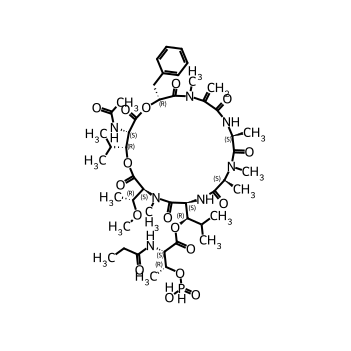 C=C1C(=O)N[C@@H](C)C(=O)N(C)[C@@H](C)C(=O)N[C@@H]([C@H](OC(=O)[C@@H](NC(=O)CC)[C@@H](C)O[PH](=O)O)C(C)C)C(=O)N(C)[C@@H]([C@@H](C)OC)C(=O)O[C@H](C(C)C)[C@H](NC(C)=O)C(=O)O[C@H](Cc2ccccc2)C(=O)N1C